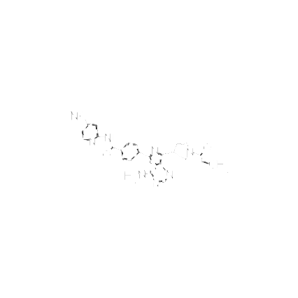 C=CC(=O)N1CCC(c2nc(-c3ccc(C(=O)Nc4cc(C#N)ccn4)cc3)n3c(N)ncnc23)C1